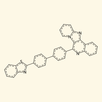 c1ccc2sc(-c3ccc(-c4ccc(-c5nc6ccccc6c6nc7ccccn7c56)cc4)cc3)nc2c1